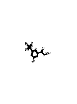 O=C(CBr)c1cc(Br)cc(C(F)(F)F)c1